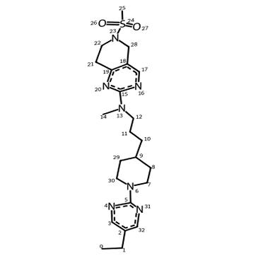 CCc1cnc(N2CCC(CCCN(C)c3ncc4c(n3)CCN(S(C)(=O)=O)C4)CC2)nc1